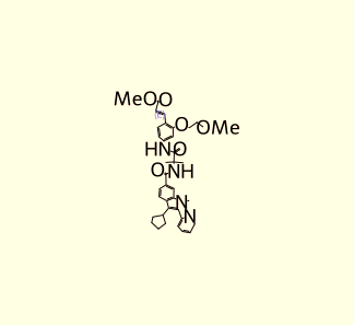 COCCOc1cc(NC(=O)C(C)(C)NC(=O)c2ccc3c(C4CCCC4)c(-c4ccccn4)n(C)c3c2)ccc1/C=C/C(=O)OC